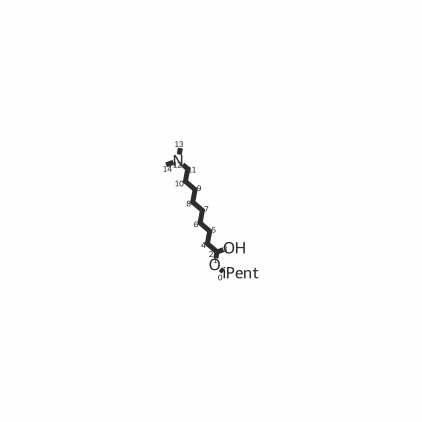 CCCC(C)OC(O)CCCCCCCCN(C)C